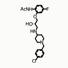 CC(=O)Nc1ccc(F)cc1OC[C@@H](O)CNC1CCN(Cc2ccc(Cl)cc2)CC1